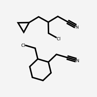 N#CCC(CCl)CC1CC1.N#CCC1CCCCC1CCl